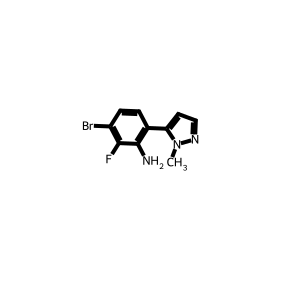 Cn1nccc1-c1ccc(Br)c(F)c1N